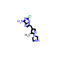 Cc1cc(Cc2cnc3c(N)nc(Cl)nn23)cnc1N1CCNCC1